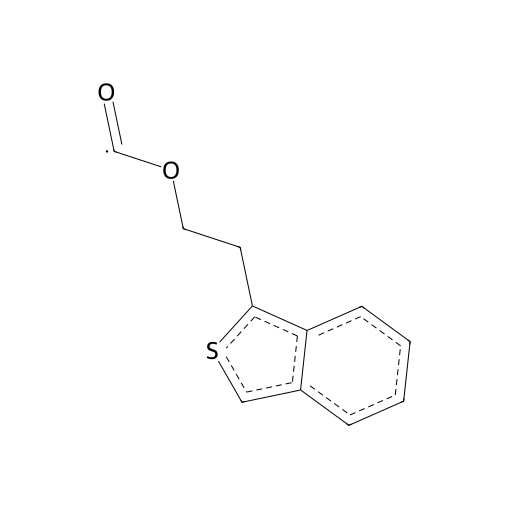 O=[C]OCCc1scc2ccccc12